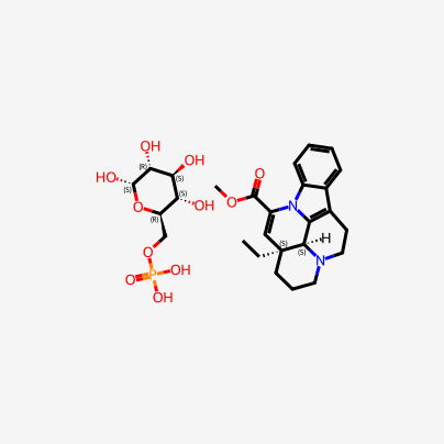 CC[C@@]12C=C(C(=O)OC)n3c4c(c5ccccc53)CCN(CCC1)[C@H]42.O=P(O)(O)OC[C@H]1O[C@H](O)[C@H](O)[C@@H](O)[C@@H]1O